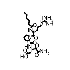 CCCCCC(=O)N[C@@H](CCCNC(=N)N)C(=O)N1CCC[C@H]1C(=O)N[C@@H](CC(=O)O)C(=O)C(N)=O